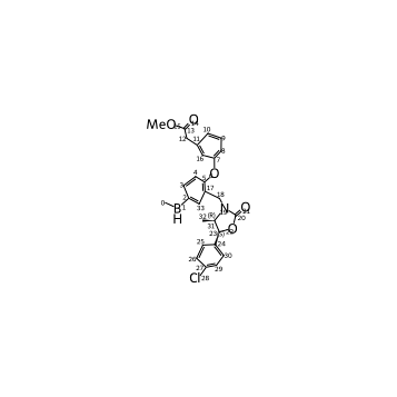 CBc1ccc(Oc2cccc(CC(=O)OC)c2)c(CN2C(=O)O[C@@H](c3ccc(Cl)cc3)[C@H]2C)c1